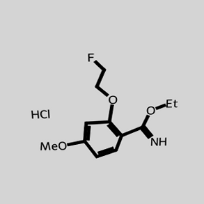 CCOC(=N)c1ccc(OC)cc1OCCF.Cl